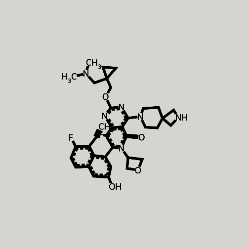 C#Cc1c(F)ccc2cc(O)cc(-c3c(F)c4nc(OCC5(CN(C)C)CC5)nc(N5CCC6(CC5)CNC6)c4c(=O)n3C3COC3)c12